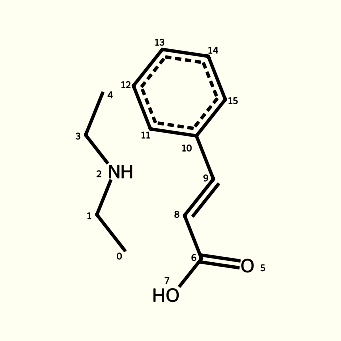 CCNCC.O=C(O)C=Cc1ccccc1